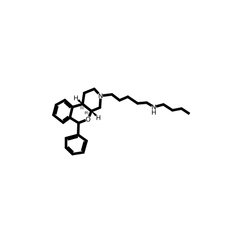 CCCCNCCCCCN1CC[C@H]2c3ccccc3C(c3ccccc3)O[C@H]2C1